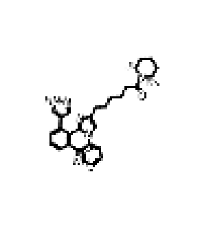 C[C@@H]1CCC[C@H](C)N1C(=O)CCCCCc1cn(-c2ccccc2)c(-c2c(C(N)=O)cccc2-c2cn[nH]c2)n1